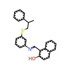 CC(CSc1cccc(/N=C/c2c(O)ccc3ccccc23)c1)c1ccccc1